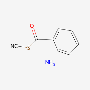 N.N#CSC(=O)c1ccccc1